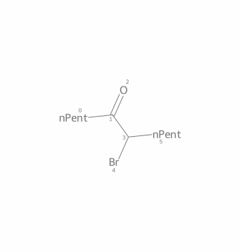 CCCCCC(=O)C(Br)CCCCC